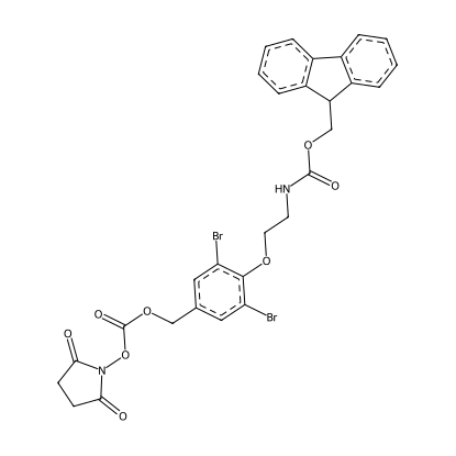 O=C(NCCOc1c(Br)cc(COC(=O)ON2C(=O)CCC2=O)cc1Br)OCC1c2ccccc2-c2ccccc21